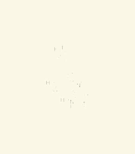 C[C@@](CCn1ccc2cc(-c3ccc(OC(F)(F)F)cc3)ccc21)(C(=O)NO)S(C)(=O)=O.O=CO